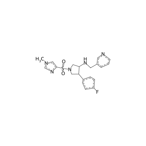 Cn1cnc(S(=O)(=O)N2CC(NCc3cccnc3)C(c3ccc(F)cc3)C2)c1